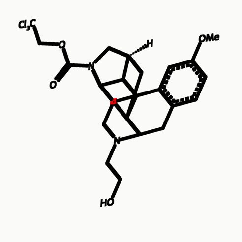 COc1ccc2c(c1)C13CCN(CCO)C(C2)C12CCC1C3[C@@H](CN1C(=O)OCC(Cl)(Cl)Cl)C2